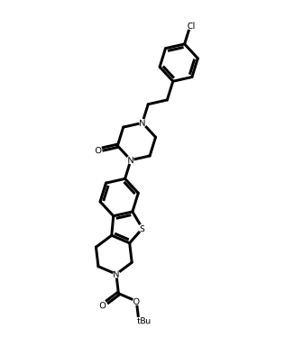 CC(C)(C)OC(=O)N1CCc2c(sc3cc(N4CCN(CCc5ccc(Cl)cc5)CC4=O)ccc23)C1